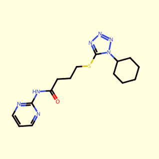 O=C(CCCSc1nnnn1C1CCCCC1)Nc1ncccn1